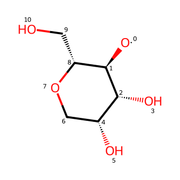 [O][C@H]1[C@H](O)[C@H](O)CO[C@@H]1CO